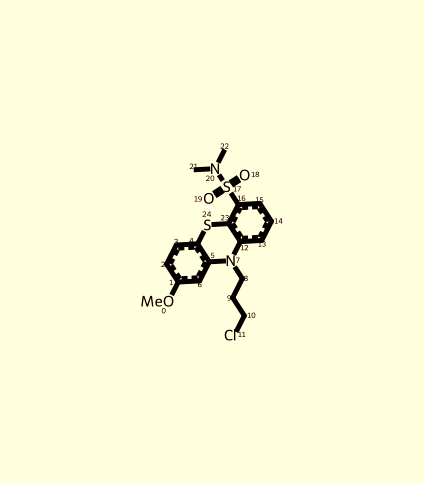 COc1ccc2c(c1)N(CCCCl)c1cccc(S(=O)(=O)N(C)C)c1S2